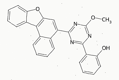 COc1nc(-c2ccccc2O)nc(-c2cc3oc4ccccc4c3c3ccccc23)n1